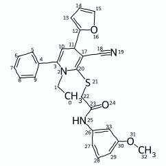 CCN1C(c2ccccc2)=CC(c2ccco2)C(C#N)=C1SCC(=O)Nc1cccc(OC)c1